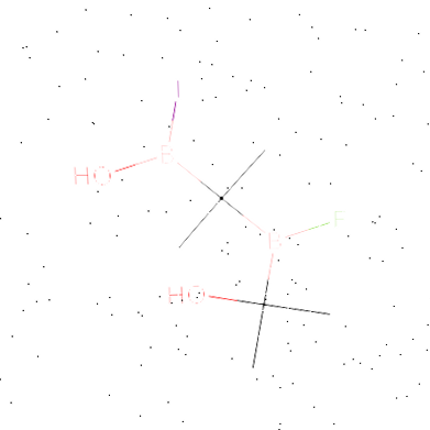 CC(C)(O)B(F)C(C)(C)B(O)I